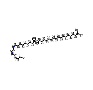 CC/C=C\C/C=C\C/C=C\CCCCCCCC(=O)OCCCCCCCCCCCCCCCCC(C)C